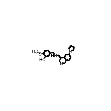 COc1ccc(CNC=C2CN=Cc3ccc(-n4cccc4)cc32)cc1O